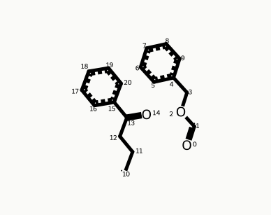 O=[C]OCc1ccccc1.[CH2]CCC(=O)c1ccccc1